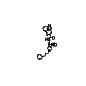 Cl.Cl.O=C(NCCC1=CCN(CCCc2ccccc2)C1)C1=Cc2cnc3cccc(n23)S1